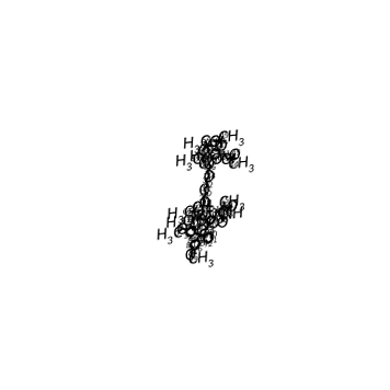 COc1ccc(C(OCC2OC(n3cc(C)c(=O)[nH]c3=O)C(F)C2OP(CCOCCOCCOCCO[C@@H]2O[C@H](COC(C)=O)[C@H](OC(C)=O)[C@H](OC(C)=O)[C@H]2NC(C)=O)N(C(C)C)C(C)C)(c2ccccc2)c2ccc(OC)cc2)cc1